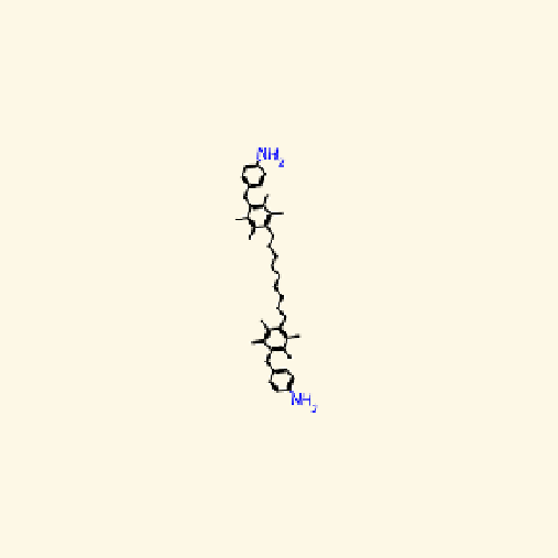 Cc1c(C)c(Cc2ccc(N)cc2)c(C)c(C)c1CCCCCCCCCc1c(C)c(C)c(Cc2ccc(N)cc2)c(C)c1C